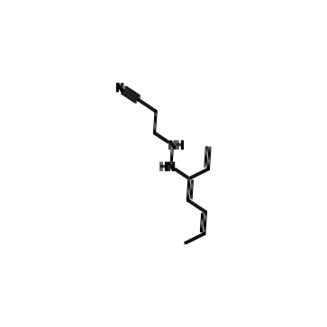 C=C/C(=C\C=C/C)NNCCC#N